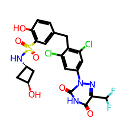 O=c1[nH]c(=O)n(-c2cc(Cl)c(Cc3ccc(O)c(S(=O)(=O)N[C@H]4C[C@H](O)C4)c3)c(Cl)c2)nc1C(F)F